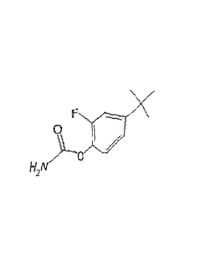 CC(C)(C)c1ccc(OC(N)=O)c(F)c1